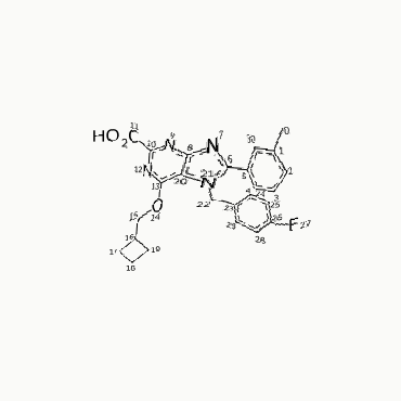 Cc1cccc(-c2nc3nc(C(=O)O)nc(OCC4CCC4)c3n2Cc2ccc(F)cc2)c1